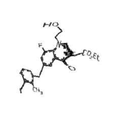 CCOC(=O)c1cn(CCO)c2c(F)cc(Cc3cccc(I)c3C)cc2c1=O